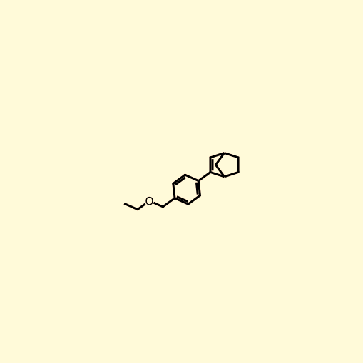 CCOCc1ccc(C2=CC3CCC2C3)cc1